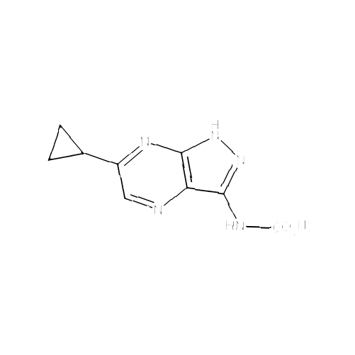 O=C(O)Nc1n[nH]c2nc(C3CC3)cnc12